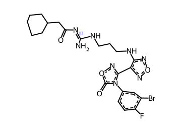 N/C(=N\C(=O)CC1CCCCC1)NCCCNc1nonc1-c1noc(=O)n1-c1ccc(F)c(Br)c1